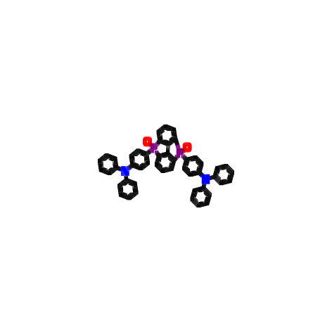 O=P1(c2ccc(N(c3ccccc3)c3ccccc3)cc2)c2cccc3c2-c2c1cccc2P3(=O)c1ccc(N(c2ccccc2)c2ccccc2)cc1